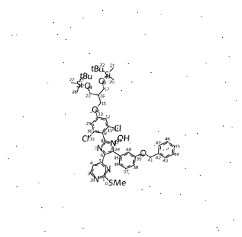 CSc1nccc(-c2nc(-c3c(Cl)cc(OCC(CO[Si](C)(C)C(C)(C)C)CO[Si](C)(C)C(C)(C)C)cc3Cl)n(O)c2-c2cccc(OCc3ccccc3)c2)n1